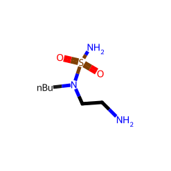 CCCCN(CCN)S(N)(=O)=O